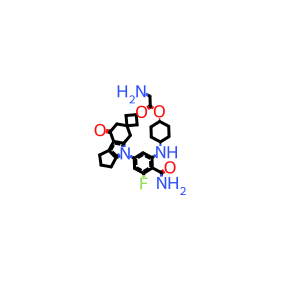 NCC(=O)O[C@H]1CC[C@H](Nc2cc(-n3c4c(c5c3CC3(CCC3)CC5=O)CCC4)cc(F)c2C(N)=O)CC1